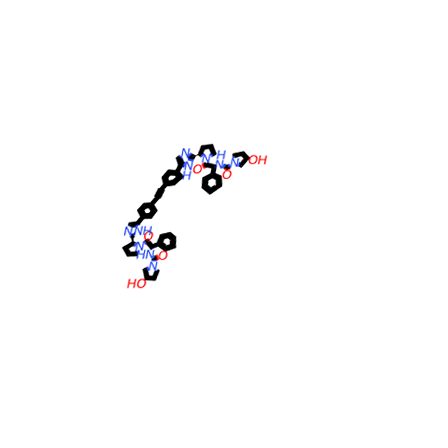 O=C(N[C@@H](C(=O)N1CCC[C@H]1c1ncc(-c2ccc(C#Cc3ccc(-c4cnc([C@@H]5CCCN5C(=O)[C@H](NC(=O)N5CC[C@H](O)C5)c5ccccc5)[nH]4)cc3)cc2)[nH]1)c1ccccc1)N1CC[C@H](O)C1